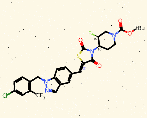 CC(C)(C)OC(=O)N1CC[C@@H](N2C(=O)S/C(=C\c3ccc4c(cnn4Cc4ccc(Cl)cc4C(F)(F)F)c3)C2=O)[C@@H](F)C1